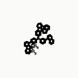 CC1(C)c2ccccc2-c2cccc(-c3ccc(N(c4cccc(-c5cccc6ccccc56)c4)c4ccc5c(c4)C4(CCc6ccccc64)c4ccccc4-5)cc3)c21